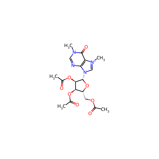 CC(=O)OC[C@H]1O[C@@H](n2c[n+](C)c3c(=O)n(C)cnc32)[C@H](OC(C)=O)[C@@H]1OC(C)=O